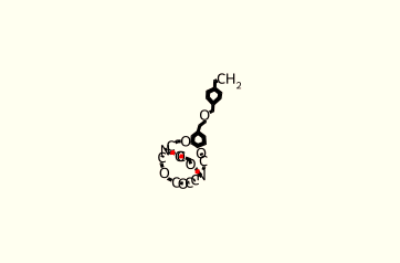 C=Cc1ccc(COCCc2ccc3c(c2)OCCN2CCOCCOCCN(CCOCCOCC2)CCO3)cc1